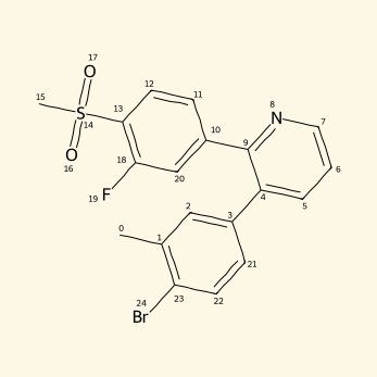 Cc1cc(-c2cccnc2-c2ccc(S(C)(=O)=O)c(F)c2)ccc1Br